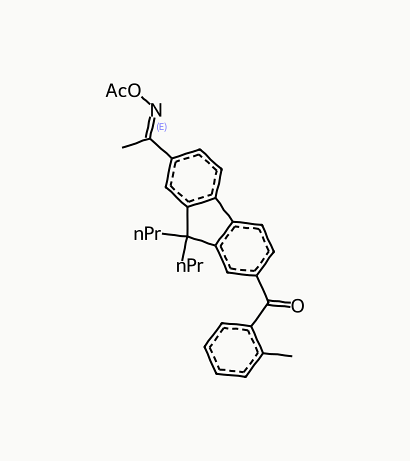 CCCC1(CCC)c2cc(C(=O)c3ccccc3C)ccc2-c2ccc(/C(C)=N/OC(C)=O)cc21